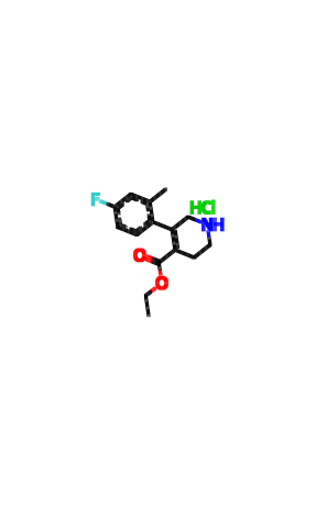 CCOC(=O)C1=C(c2ccc(F)cc2C)CNCC1.Cl